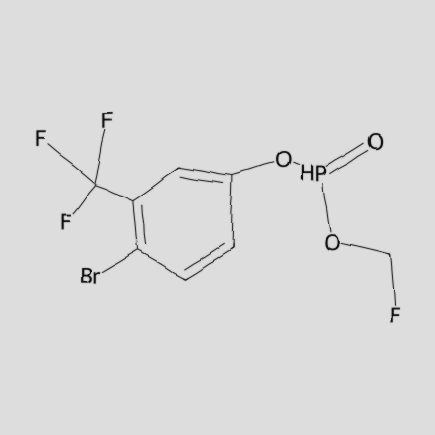 O=[PH](OCF)Oc1ccc(Br)c(C(F)(F)F)c1